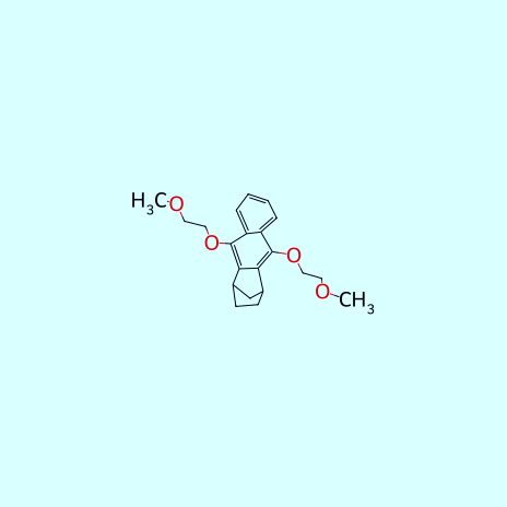 COCCOc1c2c(c(OCCOC)c3ccccc13)C1CCC2C1